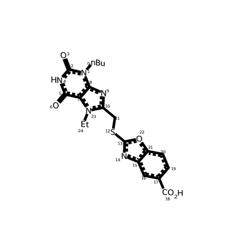 CCCCn1c(=O)[nH]c(=O)c2c1nc(CSc1nc3cc(C(=O)O)ccc3o1)n2CC